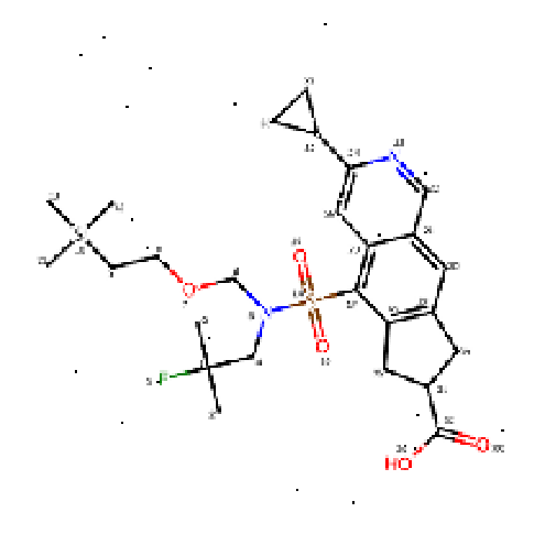 CC(C)(F)CN(COCC[Si](C)(C)C)S(=O)(=O)c1c2c(cc3cnc(C4CC4)cc13)CC(C(=O)O)C2